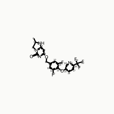 CC1Cn2c(cc(OCc3cc(F)c(Oc4ccc(C(F)(F)F)nc4)c(F)c3)nc2=O)N1